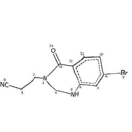 N#CCCN1CNc2cc(Br)ccc2C1=O